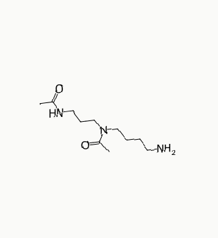 CC(=O)NCCCN(CCCCN)C(C)=O